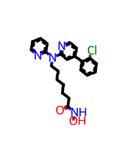 O=C(CCCCCCN(c1ccccn1)c1cc(-c2ccccc2Cl)ccn1)NO